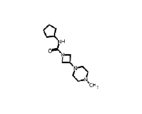 CN1CCN(C2CN(C(=O)NC3CCCC3)C2)CC1